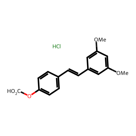 COc1cc(C=Cc2ccc(OC(=O)O)cc2)cc(OC)c1.Cl